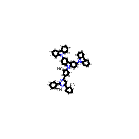 N#Cc1ccccc1-c1cc(-c2ccc(-n3c4ccc(-n5c6ccccc6c6ccccc65)cc4c4cc(-n5c6ccccc6c6ccccc65)ccc43)c(C#N)c2)nc(-c2ccccc2C#N)n1